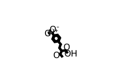 CC(=O)C(CCc1ccc([N+](=O)[O-])cc1)C(=O)O